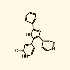 O=c1cc(-c2[nH]c(-c3ccccc3)nc2-c2ccncc2)cc[nH]1